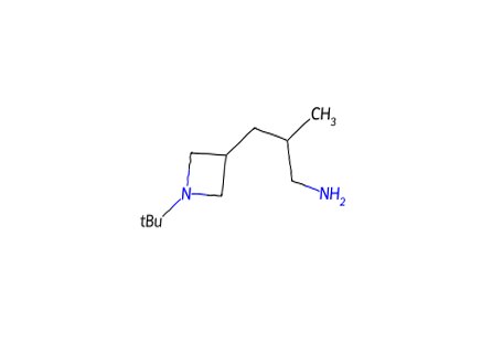 CC(CN)CC1CN(C(C)(C)C)C1